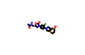 CC(=O)NC[C@H]1CN(c2ccc(N3CCC4(CC3)C[S+]([O-])CCCS4)c(F)c2)C(=O)O1